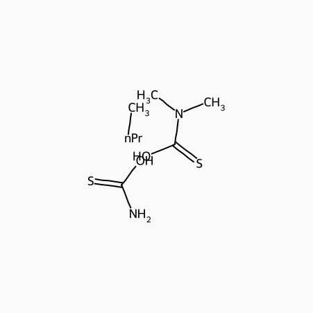 CCCC.CN(C)C(O)=S.NC(O)=S